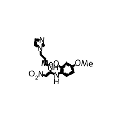 COc1ccc(NC(=C[N+](=O)[O-])NCCCn2ccnc2)c(OC)c1